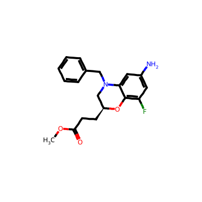 COC(=O)CC[C@H]1CN(Cc2ccccc2)c2cc(N)cc(F)c2O1